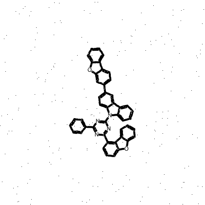 c1ccc(-c2nc(-c3cccc4oc5ccccc5c34)nc(-n3c4ccccc4c4cc(-c5ccc6c(c5)oc5ccccc56)ccc43)n2)cc1